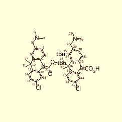 CN(C)Cc1ccc2c(c1)C(C)(C)c1ccc(Cl)cc1N2C(=O)OC(C)(C)C.CN(C)Cc1ccc2c(c1C(C)(C)C)C(C)(C)c1ccc(Cl)cc1N2C(=O)O